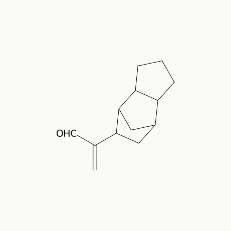 C=C(C=O)C1CC2CC1C1CCCC21